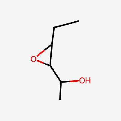 CCC1OC1C(C)O